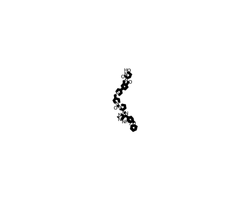 Nc1ncnc2c1c(-c1ccc(Oc3ccccc3)cc1)nn2[C@@H]1CCCN(C(=O)N2CCC(CN3CCC(c4ccc5c(c4)CN(C4CCC(=O)NC4=O)C5=O)CC3)CC2)C1